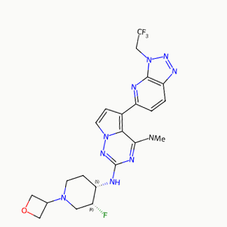 CNc1nc(N[C@H]2CCN(C3COC3)C[C@H]2F)nn2ccc(-c3ccc4nnn(CC(F)(F)F)c4n3)c12